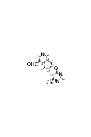 O=[C]c1cncc2cc(Oc3cc(Cl)ncn3)ccc12